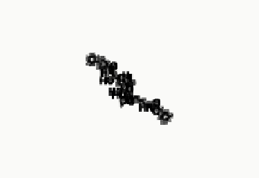 COC(=O)C(O)(CC(O)C(C[C@@H](O)[C@H](O)CNC(=O)c1ccc(-c2ccccc2)cc1)NC(C)=O)NC(=O)CCCCCNC(=O)OCc1ccccc1